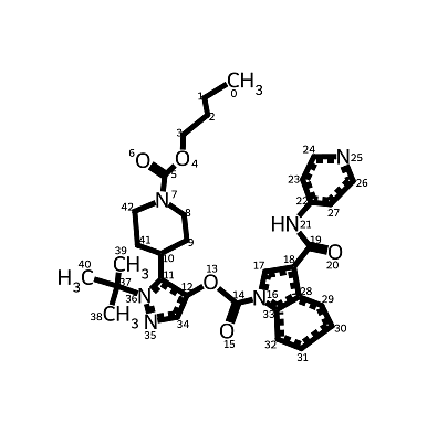 CCCCOC(=O)N1CCC(c2c(OC(=O)n3cc(C(=O)Nc4ccncc4)c4ccccc43)cnn2C(C)(C)C)CC1